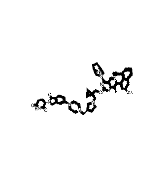 C#Cc1cccc2cc(O)cc(-c3ncc4c(N5CC6CCC(C5)N6)nc(OCC5(CN6CC[C@@H](CN7CCN(c8ccc9c(c8)CN([C@H]8CCC(=O)NC8=O)C9=O)CC7)C6)CC5)nc4c3F)c12